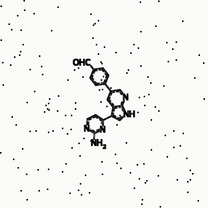 Nc1nccc(-c2c[nH]c3ncc(-c4ccc(C=O)cc4)cc23)n1